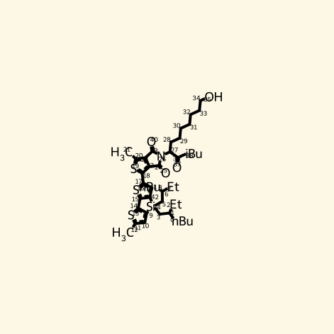 CCCCC(CC)C[Si]1(CC(CC)CCCC)c2cc(C)sc2-c2sc(-c3sc(C)c4c3C(=O)N(C(CCCCCCCO)C(=O)C(C)CC)C4=O)cc21